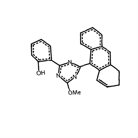 COc1nc(-c2ccccc2O)nc(-c2c3c(cc4ccccc24)CCC=C3)n1